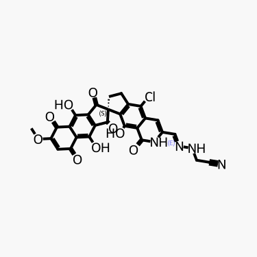 COC1=CC(=O)c2c(O)c3c(c(O)c2C1=O)C(=O)[C@]1(CCc2c1c(O)c1c(=O)[nH]c(/C=N/NCC#N)cc1c2Cl)C3=O